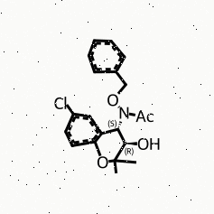 CC(=O)N(OCc1ccccc1)[C@H]1c2cc(Cl)ccc2OC(C)(C)[C@@H]1O